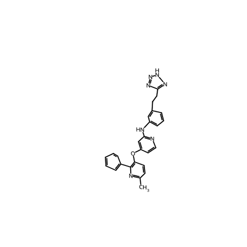 Cc1ccc(Oc2ccnc(Nc3cccc(CCc4nn[nH]n4)c3)c2)c(-c2ccccc2)n1